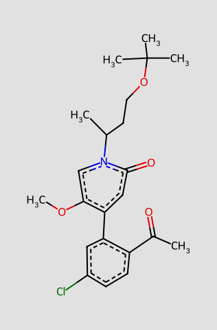 COc1cn(C(C)CCOC(C)(C)C)c(=O)cc1-c1cc(Cl)ccc1C(C)=O